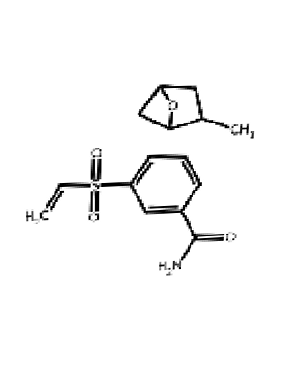 C=CS(=O)(=O)c1cccc(C(N)=O)c1.CC1CC2CC1O2